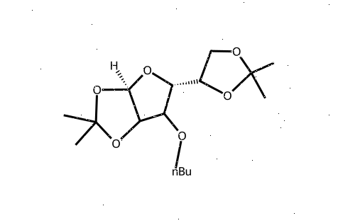 CCCCOC1C2OC(C)(C)O[C@H]2O[C@@H]1C1COC(C)(C)O1